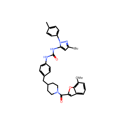 COc1cccc2cc(C(=O)N3CCC(Cc4ccc(NC(=O)Nc5cc(C(C)(C)C)nn5-c5ccc(C)cc5)cc4)CC3)oc12